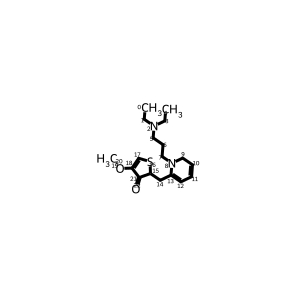 CCN(CC)CCCN1CC=CC=C1CC1SC=C(OC)C1=O